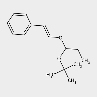 CCC(OC=Cc1ccccc1)OC(C)(C)C